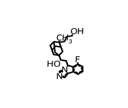 CC1(CCCO)C2CC3CC1CC(C(O)CC1c4c(F)cccc4-c4cncn41)(C3)C2